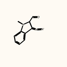 CN1c2ccccc2C(=[N+]=[N-])C1C=O